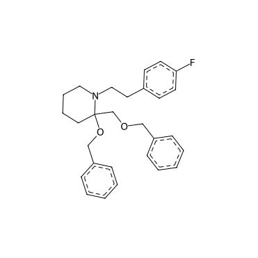 Fc1ccc(CCN2CCCCC2(COCc2ccccc2)OCc2ccccc2)cc1